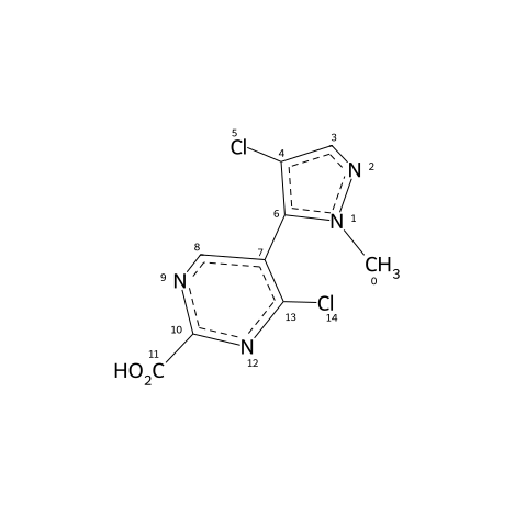 Cn1ncc(Cl)c1-c1cnc(C(=O)O)nc1Cl